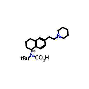 CC(C)(C)N(C(=O)O)[C@@H]1CCCc2cc(CCN3CCCCC3)ccc21